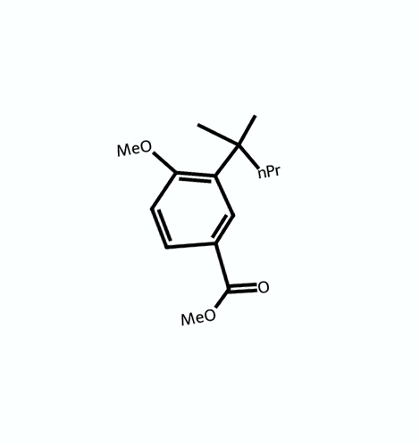 CCCC(C)(C)c1cc(C(=O)OC)ccc1OC